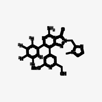 [2H]c1c([2H])c([2H])c(-c2nc(N)n3c(=O)n(Cc4nccn4C)nc3c2-c2cc(CO)nc(OC)c2)c([2H])c1[2H]